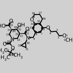 COCCCOc1cc(CN(C(=O)[C@H]2CN(C(=O)OC(C)(C)C)C[C@@H](C(=O)O)[C@H]2O)C2CC2)cc2c1CCCO2